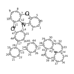 c1ccc2c(c1)Oc1cccc3c1N2c1ccc(-c2ccccc2-c2ccc(-c4ccc5ccc6cccc7ccc4c5c67)cc2)cc1O3